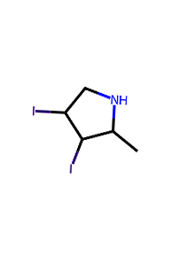 CC1NCC(I)C1I